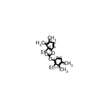 CCc1c(OC(=O)Oc2ccc(C)c(C)c2CC)ccc(C)c1C